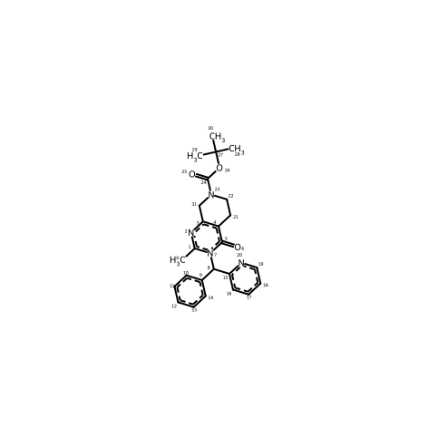 Cc1nc2c(c(=O)n1C(c1ccccc1)c1ccccn1)CCN(C(=O)OC(C)(C)C)C2